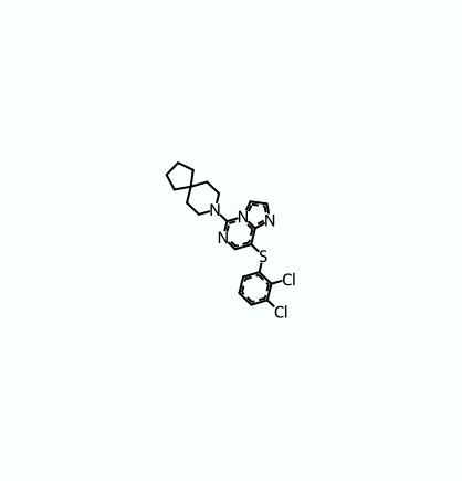 Clc1cccc(Sc2cnc(N3CCC4(CCCC4)CC3)n3ccnc23)c1Cl